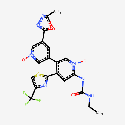 CCNC(=O)Nc1cc(-c2nc(C(F)(F)F)cs2)c(-c2cc(-c3nnc(C)o3)c[n+]([O-])c2)c[n+]1[O-]